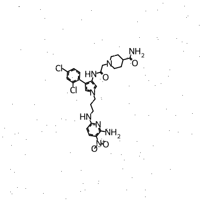 NC(=O)C1CCN(CC(=O)Nc2cn(CCCNc3ccc([N+](=O)[O-])c(N)n3)cc2-c2ccc(Cl)cc2Cl)CC1